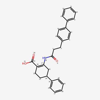 O=C(CCc1ccc(-c2ccccc2)cc1)NC1=C(C(=O)O)CCC(c2ccccc2)C1